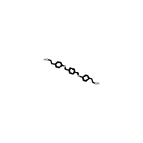 OCCc1ccc(/N=C/c2ccc(/C=N/c3ccc(CCO)cc3)cc2)cc1